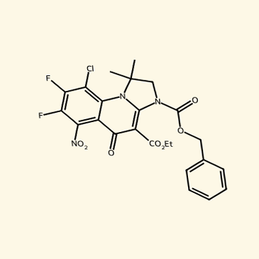 CCOC(=O)c1c2n(c3c(Cl)c(F)c(F)c([N+](=O)[O-])c3c1=O)C(C)(C)CN2C(=O)OCc1ccccc1